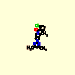 Cc1cc(C)nc(N2CC3CN(C(=O)c4c(C)cccc4Cl)CC3C2)n1